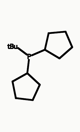 CC(C)(C)P(C1CCCC1)C1CCCC1